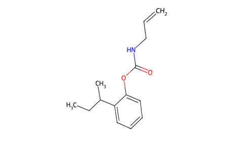 C=CCNC(=O)Oc1ccccc1C(C)CC